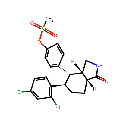 O=C1NC[C@H]2[C@@H](c3ccc(OS(=O)(=O)C(F)(F)F)cc3)[C@H](c3ccc(Cl)cc3Cl)CC[C@@H]12